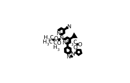 CC(=O)O[C@@H]1CCC[C@H]1n1cnc2ccc(-c3cc(C4CC4)cc(N(C(=O)OC(C)(C)C)c4cc(C#N)ccn4)n3)cc21